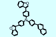 c1ccc2cc(-c3ccc(N(c4ccc(-c5coc6ccccc56)cc4)c4ccc(-c5coc6ccccc56)cc4)cc3)ccc2c1